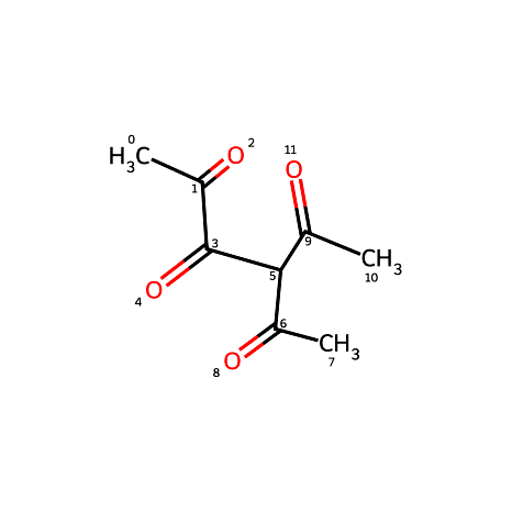 CC(=O)C(=O)C(C(C)=O)C(C)=O